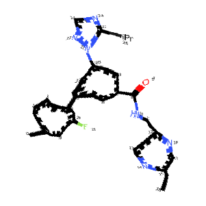 Cc1ccc(-c2cc(C(=O)NCc3cnc(C)cn3)cc(-n3ncnc3C(C)C)c2)c(F)c1